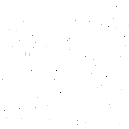 Br[SiH2]c1cccc2ccccc12